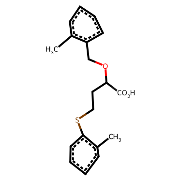 Cc1ccccc1COC(CCSc1ccccc1C)C(=O)O